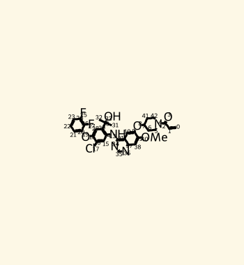 C=CC(=O)N1CCC(Oc2cc3c(Nc4cc(Cl)c(Oc5cccc(F)c5F)cc4C(C)(C)O)ncnc3cc2OC)CC1